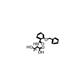 C[C@@H](O)[C@H](NC(=O)c1ccccc1OCc1ccccc1)C(=O)O